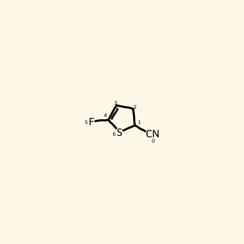 N#CC1CC=C(F)S1